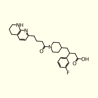 O=C(O)CC(CC1CCN(C(=O)CCCc2ccc3c(n2)NCCC3)CC1)c1cccc(F)c1